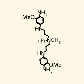 CCC[N+](C)(CCCNc1ccc(N)c(OC)c1)CCCNc1ccc(N)c(OC)c1